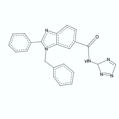 O=C(NC1N=CN=N1)c1ccc2nc(-c3ccccc3)n(Cc3ccccc3)c2c1